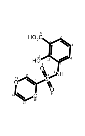 O=C(O)c1cccc(NS(=O)(=O)C2=COC=CO2)c1O